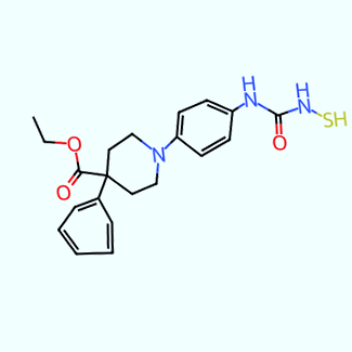 CCOC(=O)C1(c2ccccc2)CCN(c2ccc(NC(=O)NS)cc2)CC1